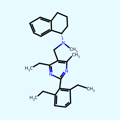 CCc1cccc(CC)c1-c1nc(C)c(CN(C)[C@H]2CCCc3ccccc32)c(CC)n1